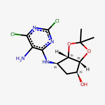 CC1(C)O[C@@H]2[C@H](O1)[C@@H](O)C[C@H]2Nc1nc(Cl)nc(Cl)c1N